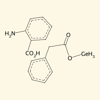 Nc1ccccc1C(=O)O.O=C(Cc1ccccc1)[O][GeH3]